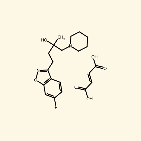 CC(O)(CCc1noc2cc(F)ccc12)CN1CCCCC1.O=C(O)C=CC(=O)O